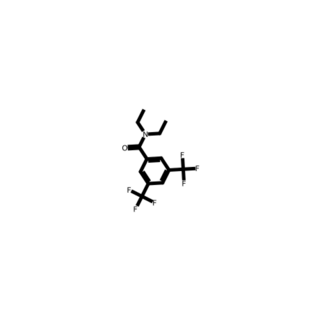 CCN(CC)C(=O)c1cc(C(F)(F)F)cc(C(F)(F)F)c1